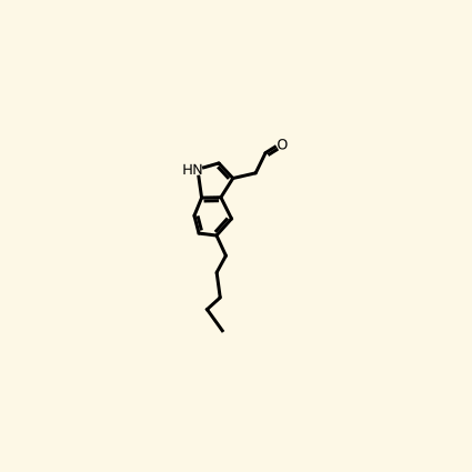 CCCCCc1ccc2[nH]cc(CC=O)c2c1